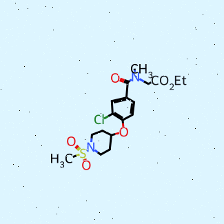 CCOC(=O)CN(C)C(=O)c1ccc(OC2CCN(S(C)(=O)=O)CC2)c(Cl)c1